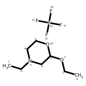 CCOC1CN(CC)CCO1.F[B-](F)(F)F